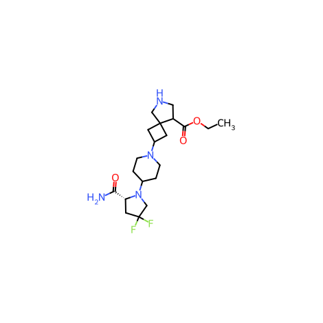 CCOC(=O)C1CNCC12CC(N1CCC(N3CC(F)(F)C[C@@H]3C(N)=O)CC1)C2